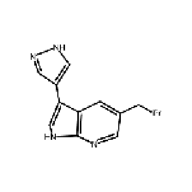 CC(C)Cc1cnc2[nH]cc(-c3cn[nH]c3)c2c1